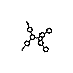 N#Cc1ccc(-c2cc(-n3c4ccc(-c5ccccc5)cc4c4cc(-c5ccccc5)ccc43)cc(-c3ccc(C#N)cc3)n2)cc1